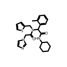 Cc1ccccc1C(C(=O)NC1CCCCC1)N(Cc1cccs1)C(=O)Cn1ccnc1